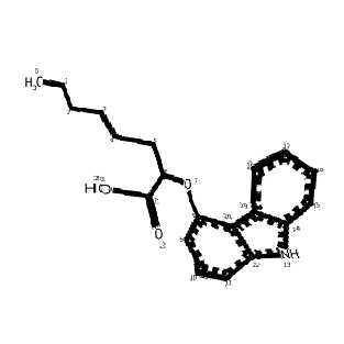 CCCCCCC(Oc1cccc2[nH]c3ccccc3c12)C(=O)O